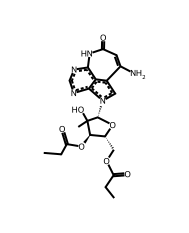 CCC(=O)OC[C@H]1O[C@@H](n2cc3c4c(ncnc42)NC(=O)C=C3N)C(C)(O)[C@@H]1OC(=O)CC